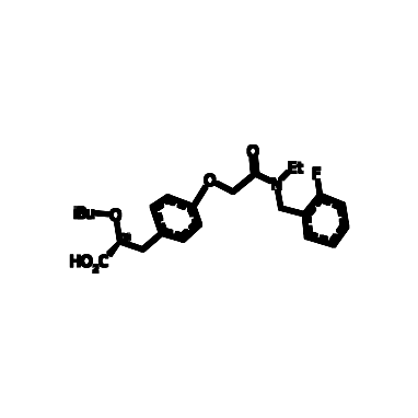 CCC(C)O[C@@H](Cc1ccc(OCC(=O)N(CC)Cc2ccccc2F)cc1)C(=O)O